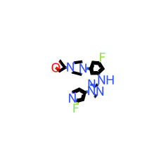 Fc1cc(Nc2ncn(-c3ccnc(F)c3)n2)cc(N2CCN(C3COC3)CC2)c1